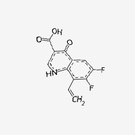 C=Cc1c(F)c(F)cc2c(=O)c(C(=O)O)c[nH]c12